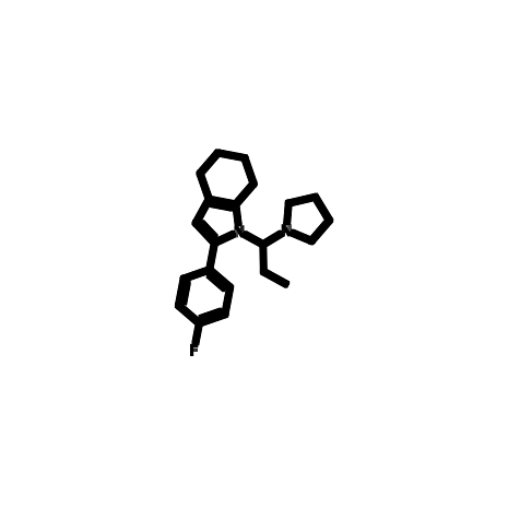 CCC(N1CCCC1)n1c(-c2ccc(F)cc2)cc2c1CCCC2